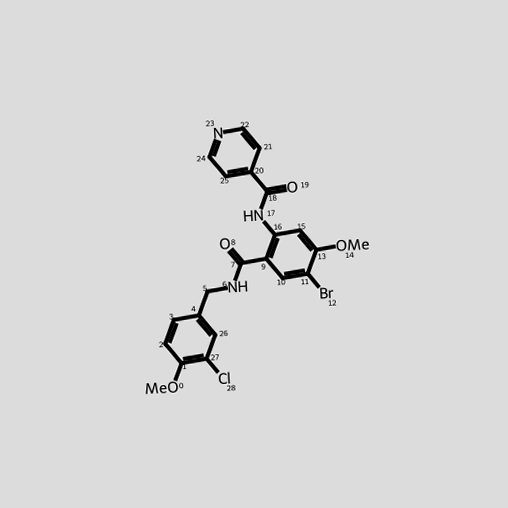 COc1ccc(CNC(=O)c2cc(Br)c(OC)cc2NC(=O)c2ccncc2)cc1Cl